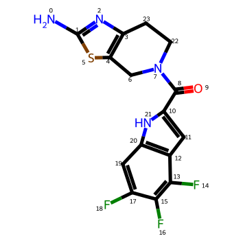 Nc1nc2c(s1)CN(C(=O)c1cc3c(F)c(F)c(F)cc3[nH]1)CC2